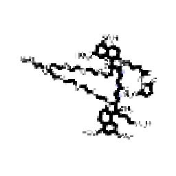 COCCOCCOCCOCCOCCN1c2ccc3c(S(=O)(=O)O)cc(S(=O)(=O)O)cc3c2C(C)(CCCS(=O)(=O)O)C1/C=C/C(C)=C/C=C1/N(CCCC(=O)ON2C(=O)CCC2=O)c2ccc3c(S(=O)(=O)O)cc(S(=O)(=O)O)cc3c2C1(C)CCOCCOCCOCCOC